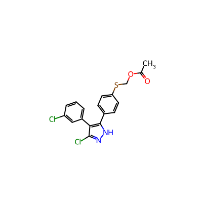 CC(=O)OCSc1ccc(-c2[nH]nc(Cl)c2-c2cccc(Cl)c2)cc1